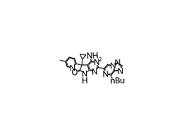 CCCCc1nc(-c2nc(N)c3c(n2)NC(=O)C3(c2ccc(C)cn2)C2CC2)cn2ncnc12